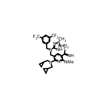 CNc1nc(N(CC2CC2)CC2CC2)c(CN(Cc2cc(C(F)(F)F)cc(C(F)(F)F)c2)C2=NN(C)NN2)cc1C(C)=N